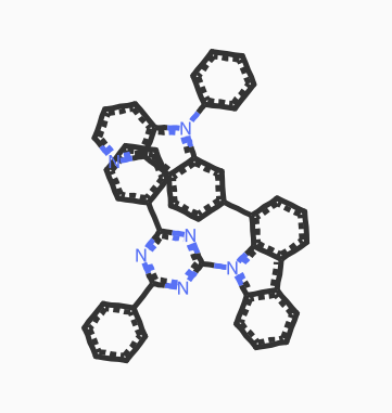 c1ccc(-c2nc(-c3ccccc3)nc(-n3c4ccccc4c4cccc(-c5ccc6c7ncccc7n(-c7ccccc7)c6c5)c43)n2)cc1